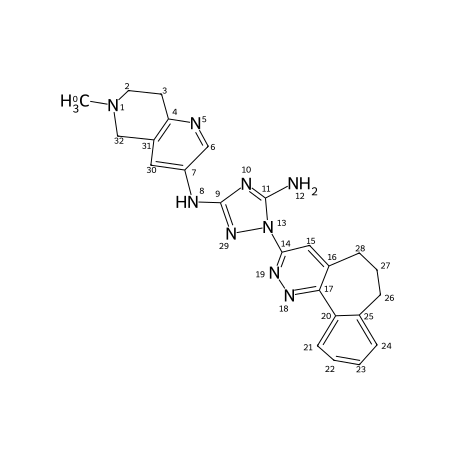 CN1CCc2ncc(Nc3nc(N)n(-c4cc5c(nn4)-c4ccccc4CCC5)n3)cc2C1